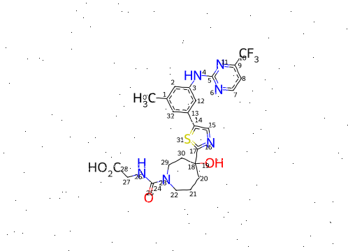 Cc1cc(Nc2nccc(C(F)(F)F)n2)cc(-c2cnc(C3(O)CCCN(C(=O)NCC(=O)O)CC3)s2)c1